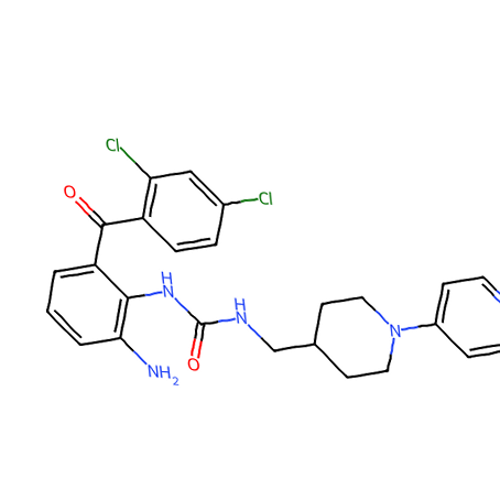 Nc1cccc(C(=O)c2ccc(Cl)cc2Cl)c1NC(=O)NCC1CCN(c2ccncc2)CC1